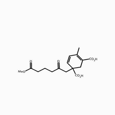 COC(=O)CCCC(=O)CC1(C(=O)O)C=CC(C)=C(C(=O)O)C1